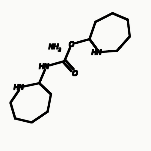 N.O=C(NC1CCCCCN1)OC1CCCCCN1